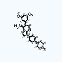 COc1cc(OC)cc(-c2cnc3c(-c4ccc(N5CCN(C)CC5)cc4)cnn3c2N)c1